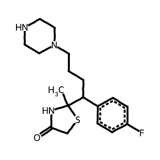 CC1(C(CCCN2CCNCC2)c2ccc(F)cc2)NC(=O)CS1